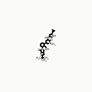 Cn1cc(-c2cccc(N3Cc4cc(C(C)(C)C)sc4C3=O)c2CO)cc(Nc2cc(C3CC3)[nH]n2)c1=O